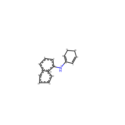 C1=CC(Nc2cccc3ccccc23)=CCC1